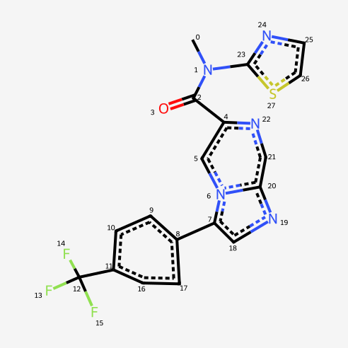 CN(C(=O)c1cn2c(-c3ccc(C(F)(F)F)cc3)cnc2cn1)c1nccs1